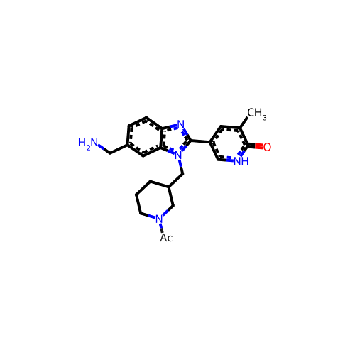 CC(=O)N1CCCC(Cn2c(-c3c[nH]c(=O)c(C)c3)nc3ccc(CN)cc32)C1